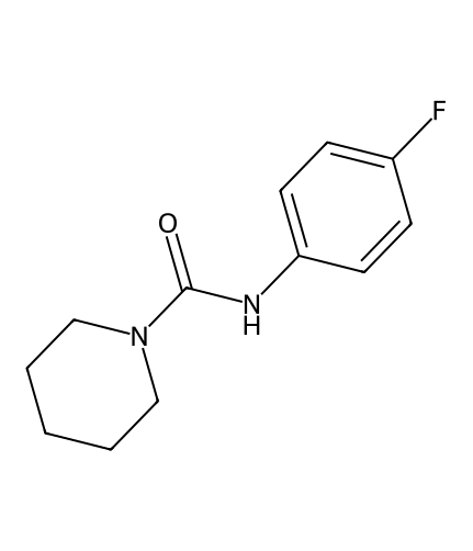 O=C(Nc1ccc(F)cc1)N1CCCCC1